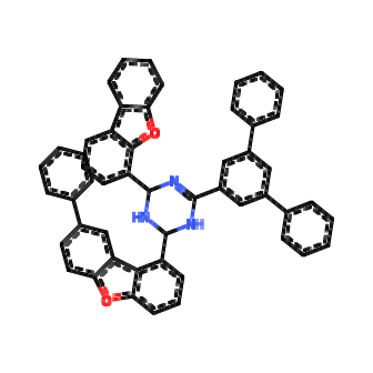 c1ccc(-c2cc(C3=NC(c4cccc5c4oc4ccccc45)NC(c4cccc5oc6ccc(-c7ccccc7)cc6c45)N3)cc(-c3ccccc3)c2)cc1